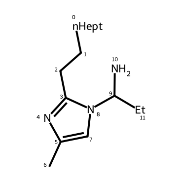 CCCCCCCCCc1nc(C)cn1C(N)CC